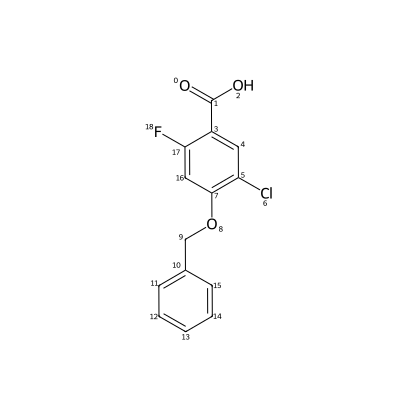 O=C(O)c1cc(Cl)c(OCc2ccccc2)cc1F